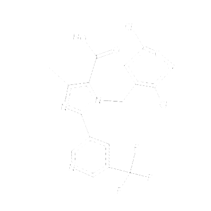 Cc1nc(-c2cncc(C(F)(F)F)c2)n(Cc2cc(Cl)ccc2Cl)c1C(=O)O